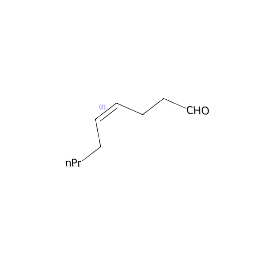 CCCC/C=C\CCC=O